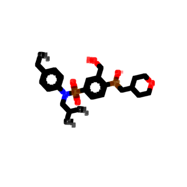 CCc1ccc(N(CC(C)C)S(=O)(=O)c2ccc([S+]([O-])CC3CCOCC3)c(CO)c2)cc1